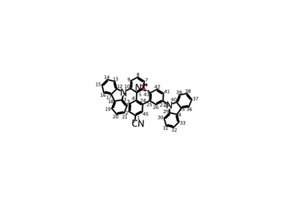 N#Cc1ccc(-c2ccccc2-n2c3ccccc3c3ccccc32)c(-c2cc(-n3c4ccccc4c4ccccc43)ccc2C#N)c1